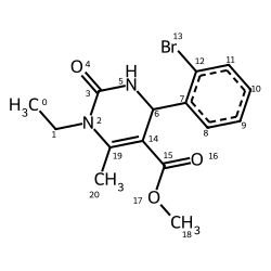 CCN1C(=O)NC(c2ccccc2Br)C(C(=O)OC)=C1C